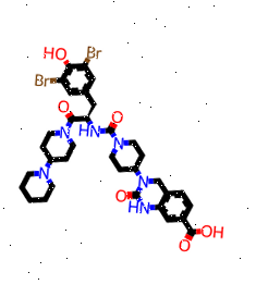 O=C(O)c1ccc2c(c1)NC(=O)N(C1CCN(C(=O)N[C@H](Cc3cc(Br)c(O)c(Br)c3)C(=O)N3CCC(N4CCCCC4)CC3)CC1)C2